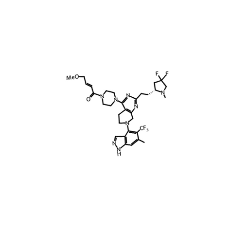 COC/C=C/C(=O)N1CCN(c2nc(CC[C@@H]3CC(F)(F)CN3C)nc3c2CCN(c2c(C(F)(F)F)c(C)cc4[nH]ncc24)C3)CC1